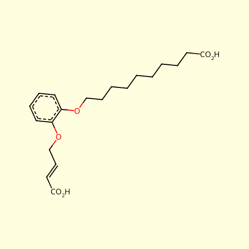 O=C(O)/C=C/COc1ccccc1OCCCCCCCCCC(=O)O